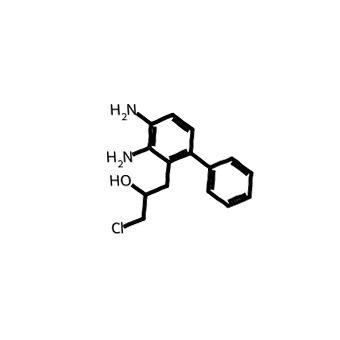 Nc1ccc(-c2ccccc2)c(CC(O)CCl)c1N